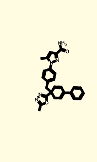 Cc1nnc(C2(Cc3ccc(-n4nc(C(N)=O)cc4C)cc3)C=CC(c3ccccc3)=CC2)o1